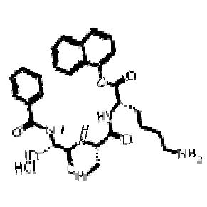 CC(C)C[C@H](NC(=O)[C@@H](NC(=O)c1ccccc1)C(C)C)C(=O)N[C@@H](CCCCN)C(=O)Oc1cccc2ccccc12.Cl